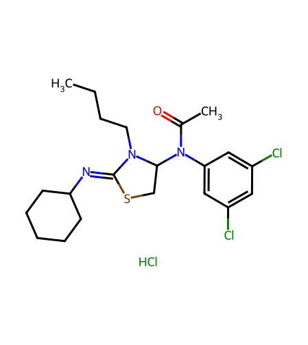 CCCCN1C(=NC2CCCCC2)SCC1N(C(C)=O)c1cc(Cl)cc(Cl)c1.Cl